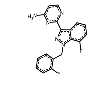 Nc1[c]cnc(-c2nn(Cc3ccccc3F)c3c(F)cccc23)n1